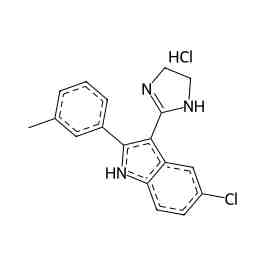 Cc1cccc(-c2[nH]c3ccc(Cl)cc3c2C2=NCCN2)c1.Cl